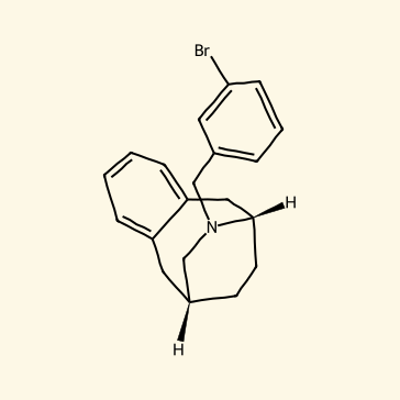 Brc1cccc(CN2C[C@@H]3CC[C@H]2Cc2ccccc2C3)c1